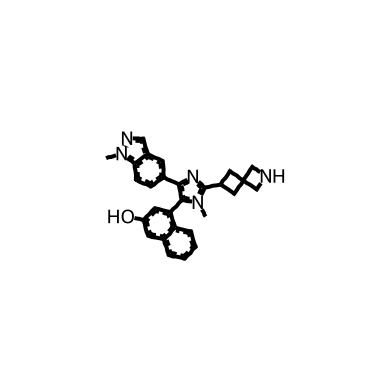 Cn1c(C2CC3(CNC3)C2)nc(-c2ccc3c(cnn3C)c2)c1-c1cc(O)cc2ccccc12